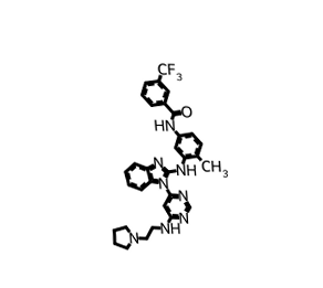 Cc1ccc(NC(=O)c2cccc(C(F)(F)F)c2)cc1Nc1nc2ccccc2n1-c1cc(NCCN2CCCC2)ncn1